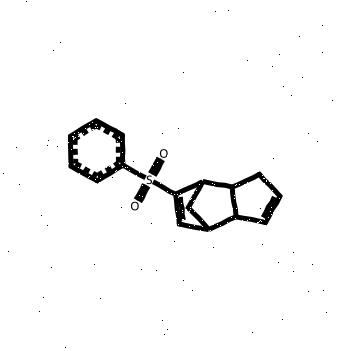 O=S(=O)(C1=CC2CC1C1CC=CC21)c1ccccc1